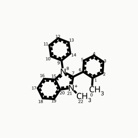 Cc1ccccc1-c1n(-c2ccccc2)c2ccccc2[n+]1C